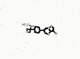 O=C(O)NC1(c2ccc(-c3cnc4c(Br)cnn4c3)cc2)COC1